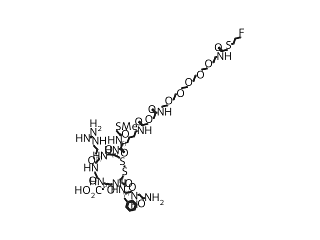 CSCC(=O)N[C@@H](CCCCNC(=O)COCC(=O)NCCOCCOCCOCCOCCOCCNC(=O)CSCCCF)C(=O)N[C@H]1CSCSC[C@@H](C(=O)N[C@@H](Cc2ccccc2)C(=O)NCC(N)=O)NC(=O)[C@H](CC(=O)O)NC(=O)CNC(=O)[C@H](CCCNC(=N)N)NC1=O